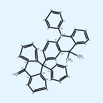 CC1(C)c2ccccc2N(c2ccccc2)c2ccc(C3(c4ccccc4)c4ccccc4C(=O)c4ccccc43)cc21